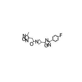 Cc1nonc1CC(=O)N1CC(c2nc(-c3ccc(F)cc3)no2)C1